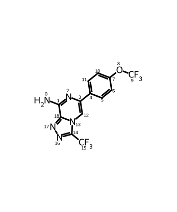 Nc1nc(-c2ccc(OC(F)(F)F)cc2)cn2c(C(F)(F)F)nnc12